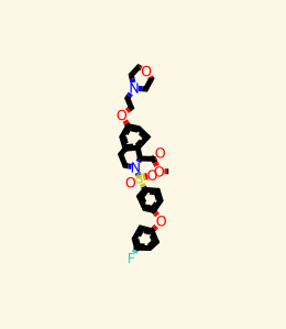 COC(=O)C1c2ccc(OCCN3CCOCC3)cc2CCN1S(=O)(=O)c1ccc(Oc2ccc(F)cc2)cc1